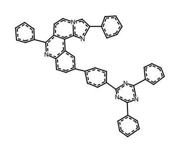 c1ccc(-c2cn3ccc4c(-c5ccccc5)nc5ccc(-c6ccc(-c7nc(-c8ccccc8)nc(-c8ccccc8)n7)cc6)cc5c4c3n2)cc1